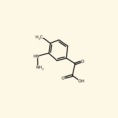 Cc1ccc(C(=O)C(=O)O)cc1NN